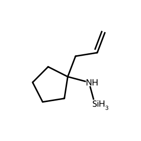 C=CCC1(N[SiH3])CCCC1